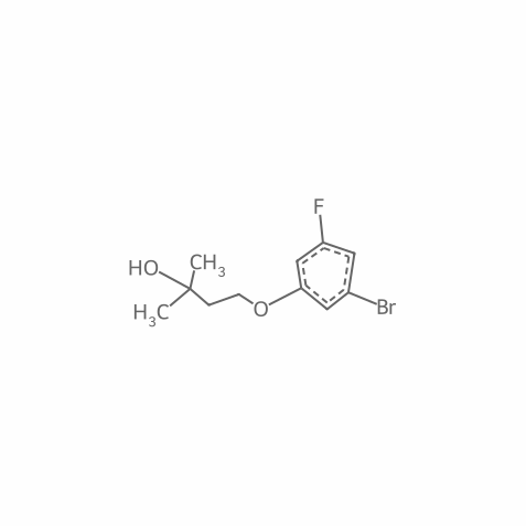 CC(C)(O)CCOc1cc(F)cc(Br)c1